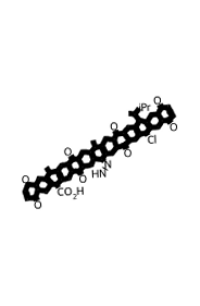 CC1C2=C(CC3C(=O)C4CC5=C(CC4C(=O)C3C2)C(C(C)C(C)C)C2=C(CC3C(=O)C=CC(=O)C3C2)C5Cl)C(N=N)C2=C1CC1C(=O)C3CC4=C(CC3C(=O)C1C2)C(C(=O)O)C1=C(CC2C(=O)C=CC(=O)C2C1)C4C